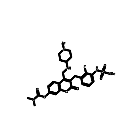 CNS(=O)(=O)Nc1cccc(Cc2c(CNC3CCN(C(C)=O)CC3)c3ccc(OC(=O)N(C)C)cc3oc2=O)c1F